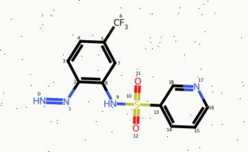 N=Nc1ccc(C(F)(F)F)cc1NS(=O)(=O)c1cccnc1